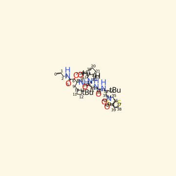 C=CCNC(=O)C(=O)C(CC1CCC1)NC(=O)[C@@H]1[C@H]2CCC[C@H]2CN1C(=O)[C@@H](NC(=O)N[C@H](CN1Cc2sccc2S1(=O)=O)C(C)(C)C)C(C)(C)C